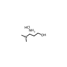 CN(C)CCCO.Cl.N